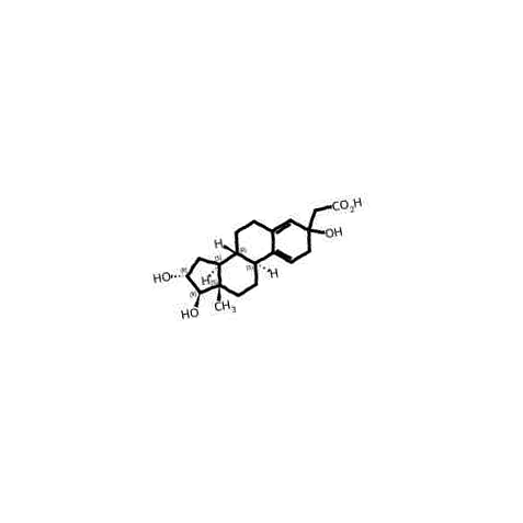 C[C@]12CC[C@@H]3C4=CCC(O)(CC(=O)O)C=C4CC[C@H]3[C@@H]1C[C@@H](O)[C@@H]2O